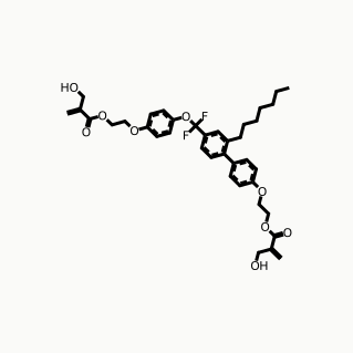 C=C(CO)C(=O)OCCOc1ccc(OC(F)(F)c2ccc(-c3ccc(OCCOC(=O)C(=C)CO)cc3)c(CCCCCCC)c2)cc1